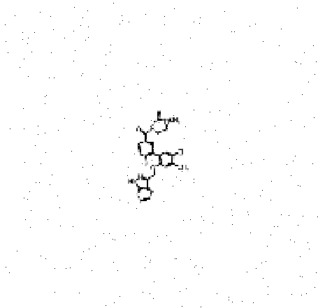 Cc1cc(OCc2n[nH]c3ncccc23)c(-c2cc(C(=O)N3CCN(C)C(=O)C3)ccc2F)cc1Cl